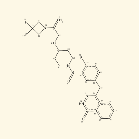 C=C(COC1CCN(C(=O)c2cc(Cc3n[nH]c(=O)c4ccccc34)ccc2F)CC1)N1CC(F)(F)C1